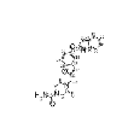 C=C1CN(C(N)=O)CCN1Cc1cc2cc(Oc3nc4ccccc4s3)ccc2o1